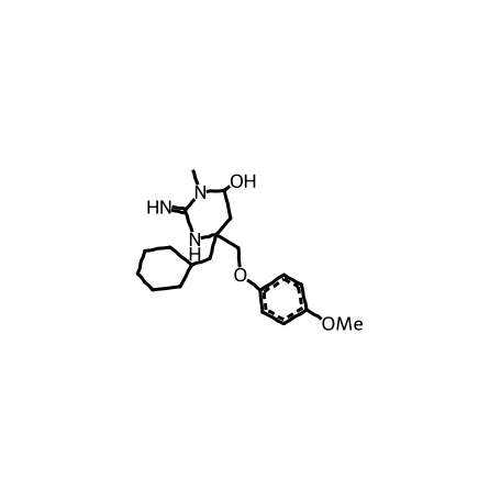 COc1ccc(OCC2(CC3CCCCC3)CC(O)N(C)C(=N)N2)cc1